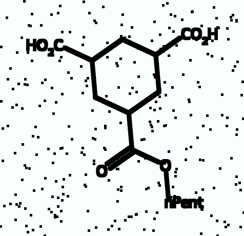 CCCCCOC(=O)C1CC(C(=O)O)CC(C(=O)O)C1